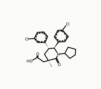 C[C@]1(CC(=O)O)C[C@H](c2cccc(Cl)c2)[C@@H](c2ccc(Cl)cc2)N(C2CCCC2)C1=O